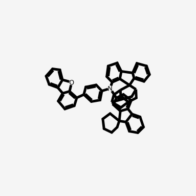 c1ccc2c(c1)-c1ccc(N(c3ccc(-c4cccc5c4oc4ccccc45)cc3)c3cccc4c3C3(c5ccccc5-4)C4CC5CC(C4)CC3C5)cc1C21CCCCC1